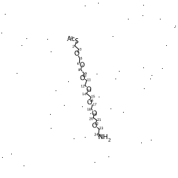 CC(=O)SCCOCCOCCOCCOCCOCCOCCOCCN